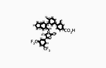 Cc1cc(C(=O)O)ccc1-c1ccc(C)c(-c2cc3c(cc2CN2C(=O)O[C@H](c4cc(C(F)(F)F)cc(C(F)(F)F)c4)[C@@H]2C)CCC3)c1